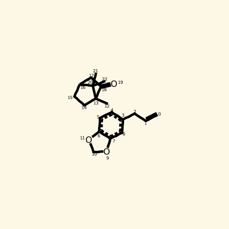 C=CCc1ccc2c(c1)OCO2.CC12CCC(CC1=O)C2(C)C